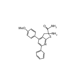 COc1ccc(-c2cc(-c3ccccc3)nc3c2CC(N)(C(N)=O)S3)cc1